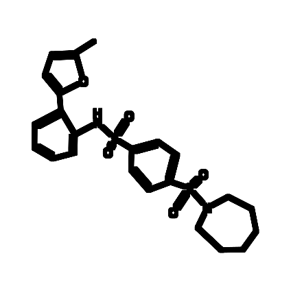 Cc1ccc(-c2ccccc2NS(=O)(=O)c2ccc(S(=O)(=O)N3CCCCCC3)cc2)o1